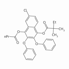 CCCC(=O)Oc1c(Oc2ccccc2)c(Oc2ccccc2)c(OC(=O)C(C)(C)CC)c2ccc(Cl)cc12